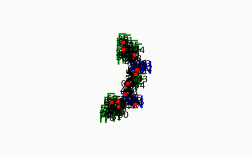 Cc1cc(-c2ccc3c(c2)c2cnccc2n3-c2ccc(-c3c(C(F)(F)F)cc(C(F)(F)F)cc3C(F)(F)F)cc2)c(C(F)(F)F)cc1-c1ccc2c(c1)c1cnccc1n2-c1ccc(-c2c(C(F)(F)F)cc(C(F)(F)F)cc2C(F)(F)F)cc1